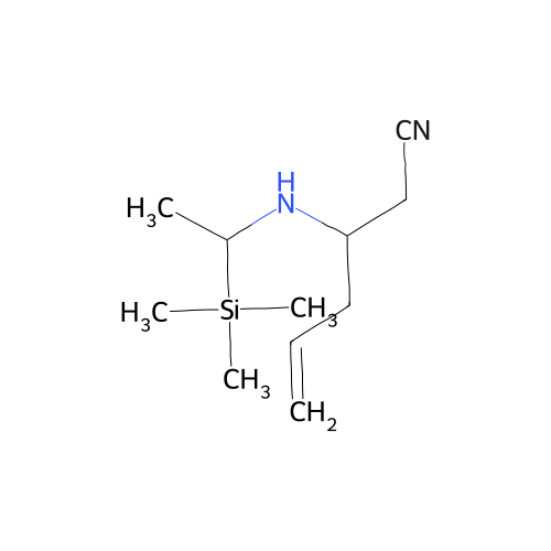 C=CCC(CC#N)NC(C)[Si](C)(C)C